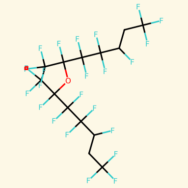 FC(CC(F)(F)F)C(F)(F)C(F)(F)C(F)(OC(F)(C(F)(F)F)C(F)(F)C(F)(F)C(F)CC(F)(F)F)C(F)(F)F